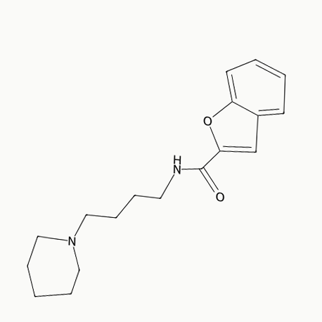 O=C(NCCCCN1CCCCC1)c1cc2ccccc2o1